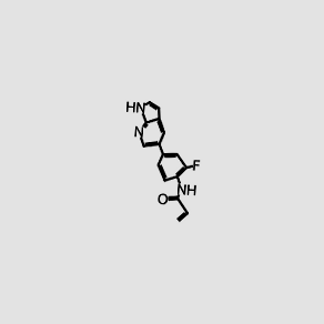 C=CC(=O)Nc1ccc(-c2cnc3[nH]ccc3c2)cc1F